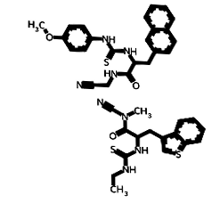 CCNC(=S)NC(Cc1csc2ccccc12)C(=O)N(C)C#N.COc1ccc(NC(=S)NC(Cc2ccc3ccccc3c2)C(=O)NCC#N)cc1